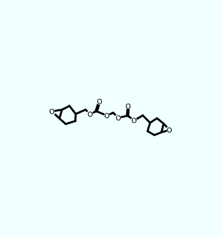 O=C(OCOC(=O)OCC1CCC2OC2C1)OCC1CCC2OC2C1